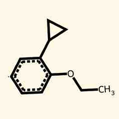 CCOc1cc[c]cc1C1CC1